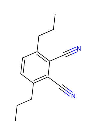 CCCc1ccc(CCC)c(C#N)c1C#N